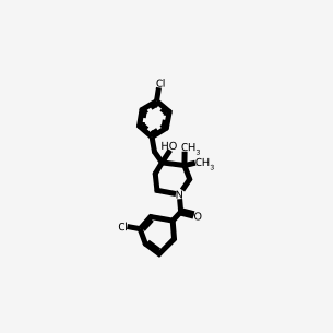 CC1(C)CN(C(=O)C2C=C(Cl)C=CC2)CCC1(O)Cc1ccc(Cl)cc1